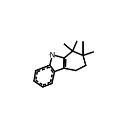 CC1(C)CCC2=C([N]c3ccccc32)C1(C)C